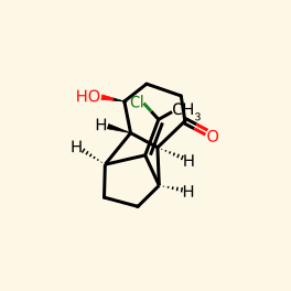 C/C(Cl)=C1/[C@H]2CC[C@@H]1[C@@H]1C(=O)CC[C@H](O)[C@H]12